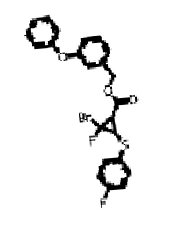 O=C(OCc1cccc(Oc2ccccc2)c1)C1C(Sc2ccc(F)cc2)C1(F)Br